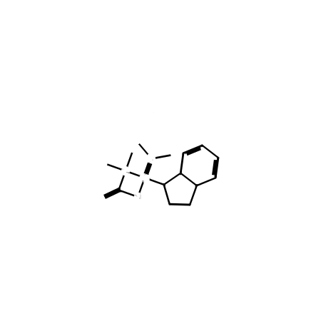 C[Si](C)=[Zr+2]1([CH]2CCC3C=CC=CC32)[NH]C(=O)[Si]1(C)C.[Cl-].[Cl-]